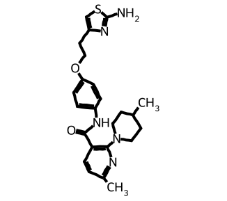 Cc1ccc(C(=O)Nc2ccc(OCCc3csc(N)n3)cc2)c(N2CCC(C)CC2)n1